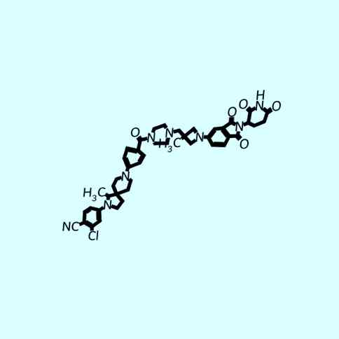 CC1N(c2ccc(C#N)c(Cl)c2)CCC12CCN(c1ccc(C(=O)N3CCN(CC4(C)CN(c5ccc6c(c5)C(=O)N(C5CCC(=O)NC5=O)C6=O)C4)CC3)cc1)CC2